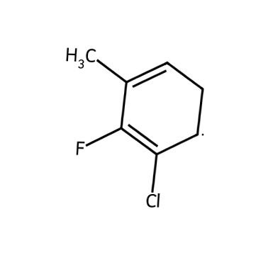 CC1=CC[CH]C(Cl)=C1F